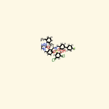 CC(C)CN(Cc1cccc(CN(Cc2ccc(-c3ccc(F)cc3)cc2)S(=O)(=O)c2cc(Cl)cc(Cl)c2O)c1)C(=O)Nc1c(C(C)C)cccc1C(C)C